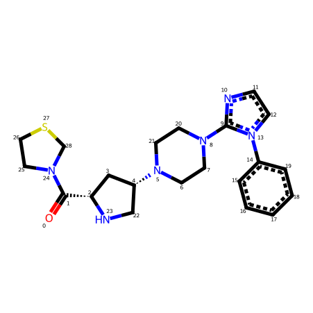 O=C([C@@H]1C[C@H](N2CCN(c3nccn3-c3ccccc3)CC2)CN1)N1CCSC1